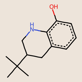 CC(C)(C)C1CNc2c(O)cccc2C1